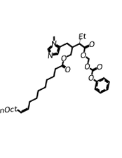 CCCCCCCC/C=C\CCCCCCCC(=O)OCC(Cc1cncn1C)[C@H](CC)C(=O)OCOC(=O)Oc1ccccc1